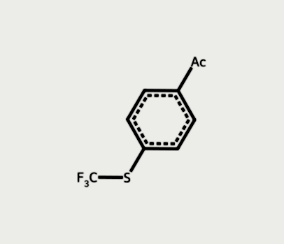 CC(=O)c1ccc(SC(F)(F)F)cc1